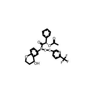 CC(=O)O[C@H](C(=O)N(CCc1ccc(C(F)(F)F)nc1)c1ccc2c(c1)[C@@H](O)CCO2)c1ccccc1